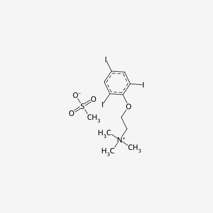 CS(=O)(=O)[O-].C[N+](C)(C)CCOc1c(I)cc(I)cc1I